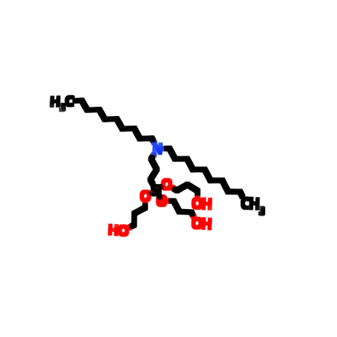 CCCCCCCCCCN(CCCCCCCCCC)CCC[Si](OCCCO)(OCCCO)OCCCO